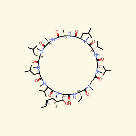 C/C=C/C[C@@H](C)C(O)[C@H]1C(=O)N[C@@H](CC)C(=O)N(C)CC(=O)N(C)[C@@H](CC(C)C)C(=O)N[C@@H](C(C)C)C(=O)N(C)C(CC(C)C)C(=O)N[C@@H](C)C(=O)N[C@H](C)C(=O)N(C)[C@@H](CC(C)C)C(=O)N(C)C(CC(C)C)C(=O)N(C)C(C(C)C)C(=O)N1C